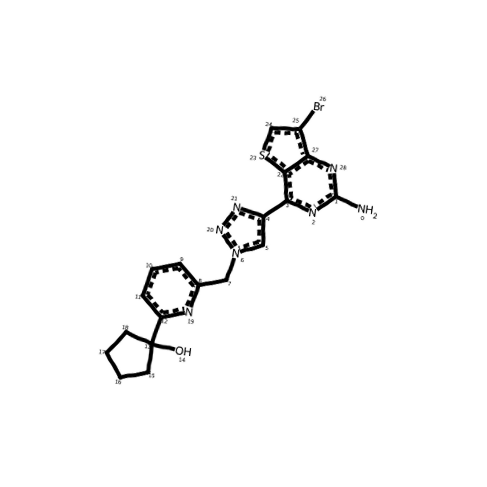 Nc1nc(-c2cn(Cc3cccc(C4(O)CCCC4)n3)nn2)c2scc(Br)c2n1